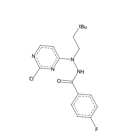 CC(C)(C)CCN(NC(=O)c1ccc(F)cc1)c1ccnc(Cl)n1